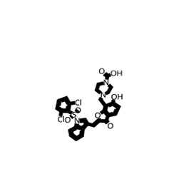 O=C1C(=Cc2cn(S(=O)(=O)c3c(Cl)cccc3Cl)c3ccccc23)Oc2c1ccc(O)c2CN1CCN(C(=O)O)CC1